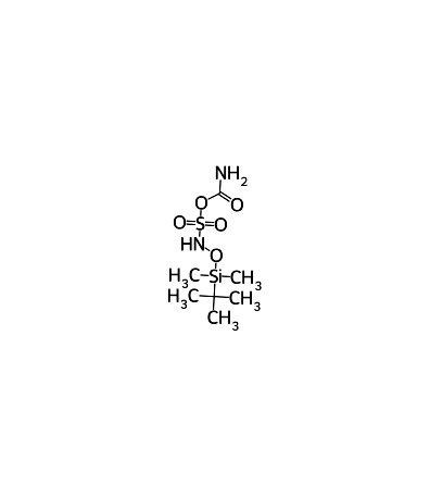 CC(C)(C)[Si](C)(C)ONS(=O)(=O)OC(N)=O